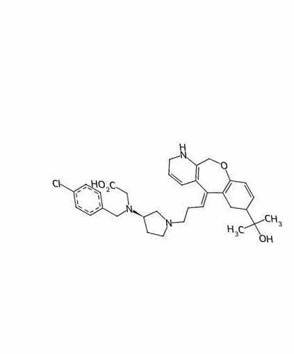 CC(C)(O)C1C=CC2=C(C1)/C(=C/CCN1CC[C@@H](N(CC(=O)O)Cc3ccc(Cl)cc3)C1)C1=C(CO2)NCC=C1